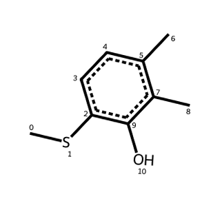 CSc1ccc(C)c(C)c1O